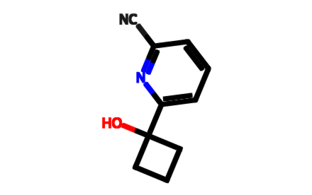 N#Cc1cccc(C2(O)CCC2)n1